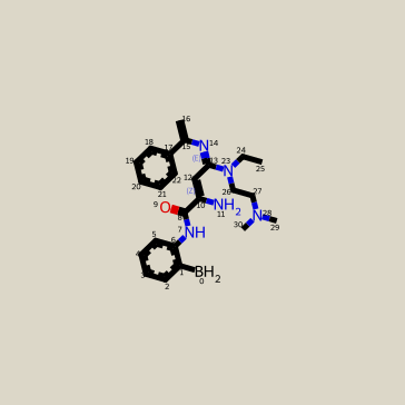 Bc1ccccc1NC(=O)/C(N)=C/C(=N\C(=C)c1ccccc1)N(CC)CCN(C)C